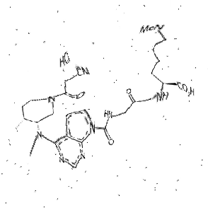 CNCCCC[C@H](NC(=O)CNC(=O)n1ccc2c(N(C)[C@H]3CN(C(=O)CC#N)CC[C@H]3C)ncnc21)C(=O)O.Cl